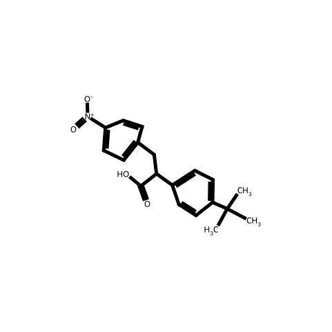 CC(C)(C)c1ccc(C(Cc2ccc([N+](=O)[O-])cc2)C(=O)O)cc1